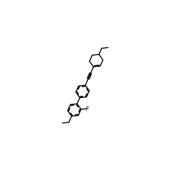 CCc1ccc(-c2ccc(C#CC3=CCC(CC)CC3)cc2)c(F)c1